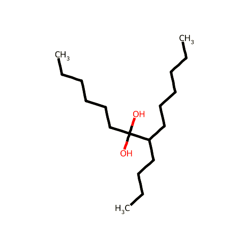 CCCCCCC(CCCC)C(O)(O)CCCCCC